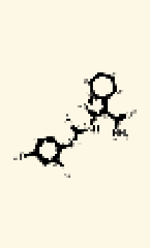 NC(=O)c1c(NC(=O)Nc2ccc(F)cc2F)sc2c1CCCC2